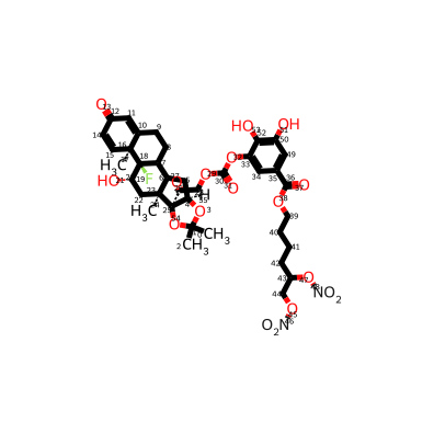 CC1(C)O[C@@H]2CC3C4CCC5=CC(=O)C=C[C@]5(C)[C@@]4(F)[C@@H](O)C[C@]3(C)[C@]2(C(=O)COC(=O)Oc2cc(C(=O)OCCCCC(CO[N+](=O)[O-])O[N+](=O)[O-])cc(O)c2O)O1